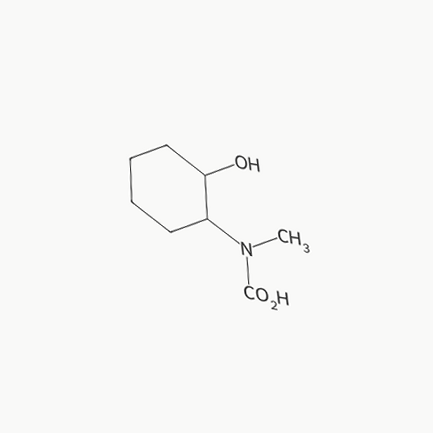 CN(C(=O)O)C1CCCCC1O